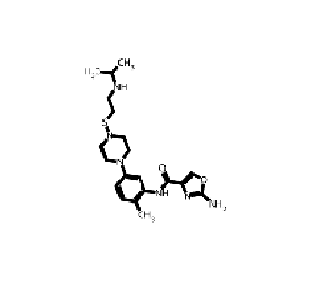 Cc1ccc(N2CCN(SCCNC(C)C)CC2)cc1NC(=O)c1coc(N)n1